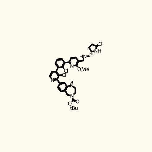 COc1nc(-c2cccc(-c3ccnc(-c4ccc5c(c4)N(C)CCN(C(=O)OC(C)(C)C)C5)c3Cl)c2Cl)ccc1CNC[C@@H]1CCC(=O)N1